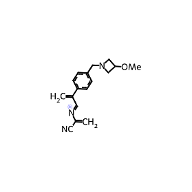 C=C(C#N)/N=C/C(=C)c1ccc(CN2CC(OC)C2)cc1